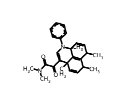 CC1C=CC2(C)C(C(=O)C(=O)N(C)C)=CN(c3ccccc3)C3(C)C=CC(C)C1=C23